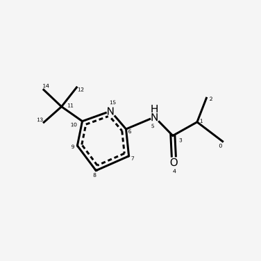 CC(C)C(=O)Nc1cccc(C(C)(C)C)n1